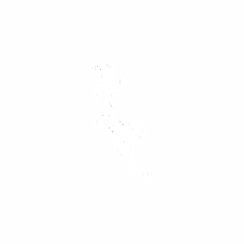 O=C(O)CCc1cccc(C(O)(c2cnc(-c3cc(Oc4c(F)cc5[nH]ccc5c4F)ccc3F)[nH]2)C(F)(F)F)c1